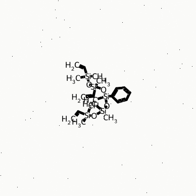 C=C[Si](C)(C)O[Si](C)(C)O[Si](C)(O[Si](C)(C=C)O[Si](C)(C)C=C)c1ccccc1